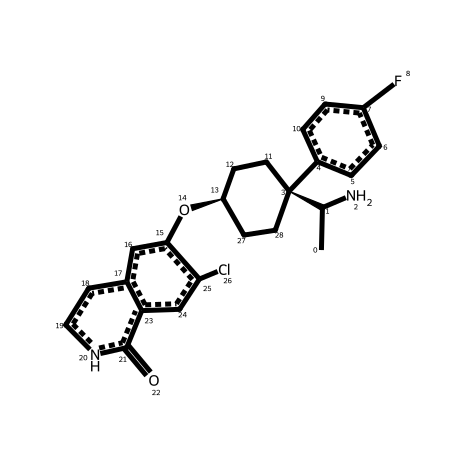 CC(N)[C@]1(c2ccc(F)cc2)CC[C@H](Oc2cc3cc[nH]c(=O)c3cc2Cl)CC1